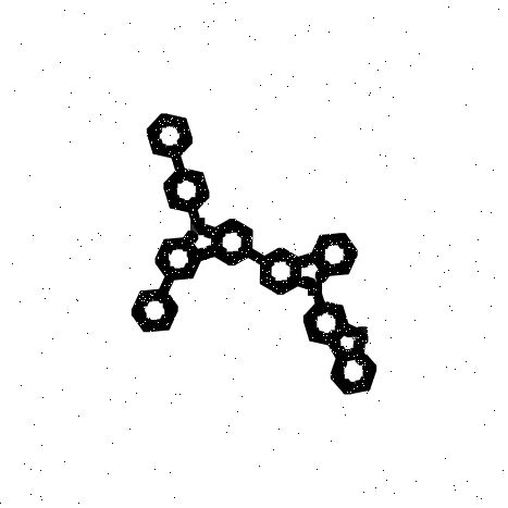 c1ccc(-c2ccc(-n3c4ccc(-c5ccccc5)cc4c4cc(-c5ccc6c(c5)c5ccccc5n6-c5ccc6c(c5)sc5ccccc56)ccc43)cc2)cc1